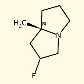 C[C@@]12CCCN1CC(F)C2